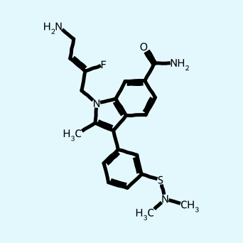 Cc1c(-c2cccc(SN(C)C)c2)c2ccc(C(N)=O)cc2n1C/C(F)=C/CN